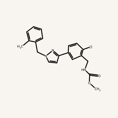 COC(=O)NCc1cc(-c2ccn(Cc3ccccc3C)n2)ccc1Cl